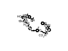 Cc1ncsc1-c1ccc([C@H](C)NC(=O)[C@@H]2C[C@@H](O)CN2C(=O)C(NC(=O)CN(C)CC(=O)N2CCN(CC#Cc3ccc(OCCCc4sc(N5CCCc6c5nnc(Nc5nc7ccccc7s5)c6C)nc4C(=O)O)c(F)c3)CC2)C(C)(C)C)cc1